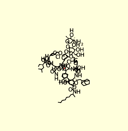 CCCCCCCC(C)NC(=O)Oc1cc(O)c2c(c1)[C@@H](C(=O)CC1C3CC4CC(C3)CC1C4)NC(=O)[C@H]1NC(=O)[C@H](CC(=O)[C@@H]3NC(=O)[C@H](CC(N)=O)CC(=O)[C@H](NC(=O)[C@H](CC)CC(C)C)[C@H](O)c4ccc(c(Cl)c4)Oc4cc3cc(c4O[C@@H]3O[C@H](CO)[C@@H](O)[C@H](O)[C@H]3O[C@H]3C[C@](C)(N)[C@H](O)[C@H](C)O3)Oc3ccc(cc3Cl)[C@H]1O)c1ccc(O)c-2c1